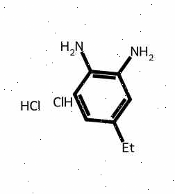 CCc1ccc(N)c(N)c1.Cl.Cl